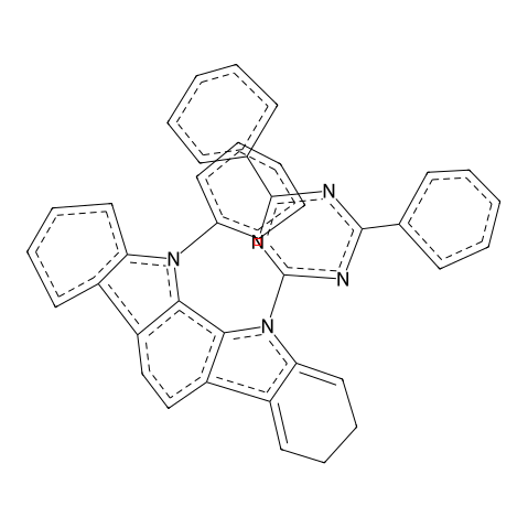 C1=c2c(n(-c3nc(-c4ccccc4)nc(-c4ccccc4)n3)c3c2ccc2c4ccccc4n(-c4ccccc4)c23)=CCC1